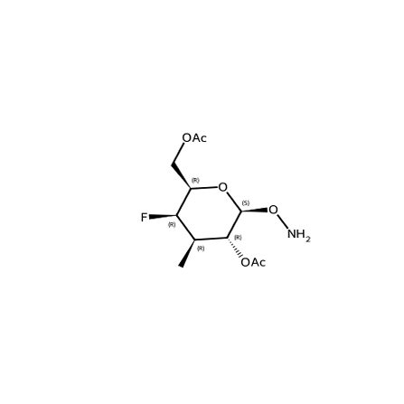 CC(=O)OC[C@H]1O[C@@H](ON)[C@H](OC(C)=O)[C@@H](C)[C@H]1F